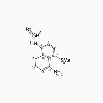 B#[SH](C)Nc1ccc(SC)c2c1CCC=C2N